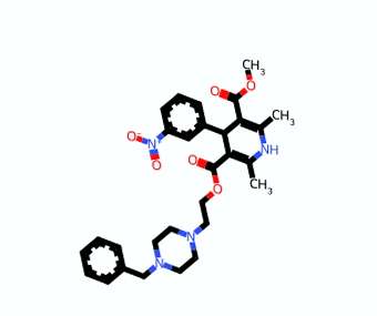 COC(=O)C1=C(C)NC(C)=C(C(=O)OCCN2CCN(Cc3ccccc3)CC2)C1c1cccc([N+](=O)[O-])c1